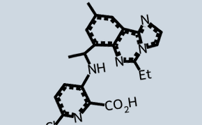 CCc1nc2c(C(C)Nc3ccc(Cl)nc3C(=O)O)cc(C)cc2c2nccn12